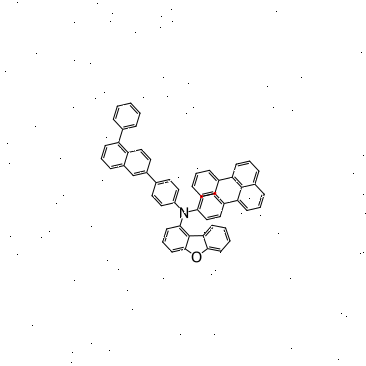 c1ccc(-c2cccc3cc(-c4ccc(N(c5ccc(-c6cccc7cccc(-c8ccccc8)c67)cc5)c5cccc6oc7ccccc7c56)cc4)ccc23)cc1